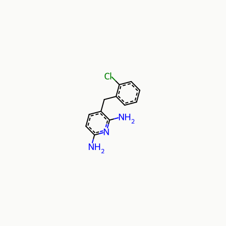 Nc1ccc(Cc2ccccc2Cl)c(N)n1